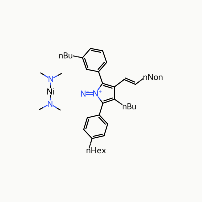 CCCCCCCCCC=CC1=C(c2cccc(CCCC)c2)[N+](=[N-])C(c2ccc(CCCCCC)cc2)=C1CCCC.C[N](C)[Ni][N](C)C